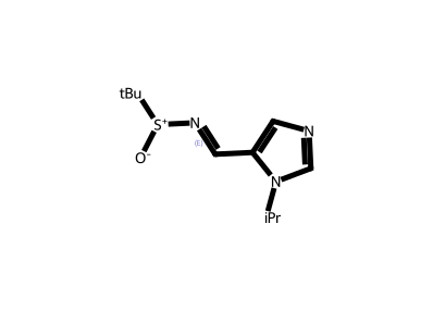 CC(C)n1cncc1/C=N/[S+]([O-])C(C)(C)C